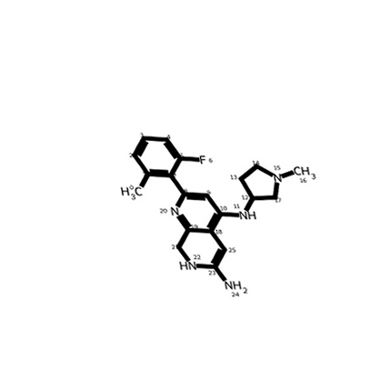 Cc1cccc(F)c1-c1cc(NC2CCN(C)C2)c2c(n1)CNC(N)=C2